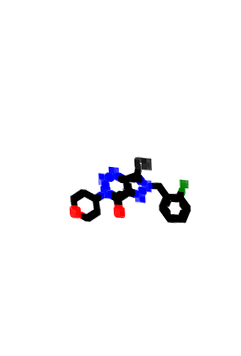 N#Cc1c2nnn(C3CCOCC3)c(=O)c2nn1Cc1ccccc1F